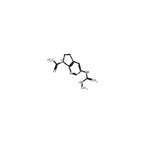 C=C(NC)Nc1cnc2c(c1)CC[C@@H]2C(C)=O